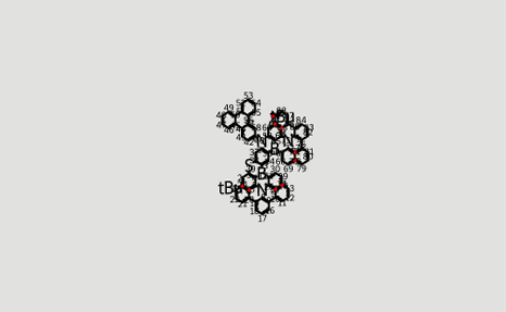 CC(C)(C)c1cc2c3c(c1)N(c1c(-c4ccccc4)cccc1-c1ccccc1)c1ccccc1B3c1cc3c(cc1S2)N(c1ccc2c4ccccc4c4ccccc4c2c1)c1cc(C(C)(C)C)cc2c1B3c1ccccc1N2c1c(-c2ccccc2)cccc1-c1ccccc1